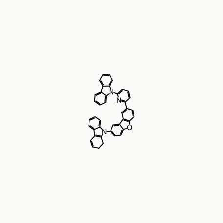 C1=Cc2c(n(-c3ccc4oc5ccc(-c6cccc(-n7c8ccccc8c8ccccc87)n6)cc5c4c3)c3ccccc23)CC1